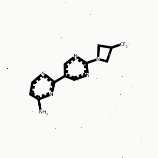 Nc1ccnc(-c2cnc(N3CC(C(F)(F)F)C3)nc2)n1